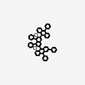 c1ccc(-c2ccc3c(-c4cc5cc(-c6c7ccccc7c(-c7ccccc7)c7ccccc67)c6oc7ccccc7c6c5c5c4oc4ccccc45)c4ccccc4c(-c4ccccc4)c3c2)cc1